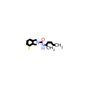 C=C/C=C\C(=C)NC(=O)N1Cc2cccc(F)c2C1